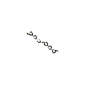 c1cc2cc(-c3ccc(-c4ccc5c(c4)sc4c6ccc(-c7ccc(-c8ccc9sccc9c8)cc7)cc6sc54)cc3)ccc2s1